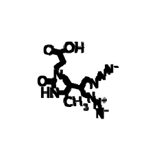 C[C@H]1NC(=O)N(CCC(=O)O)C=C1C(CN=[N+]=[N-])CN=[N+]=[N-]